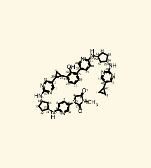 CN1C(=O)CN(c2ccc(N[C@H]3CC[C@H](Nc4ncc(C5CC5c5cccc(-c6ccc(N[C@H]7CC[C@H](Nc8ncc(C9CC9)cn8)C7)nc6)c5O)cn4)C3)nc2)C1=O